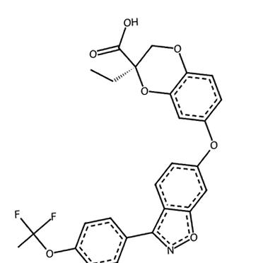 CC[C@]1(C(=O)O)COc2ccc(Oc3ccc4c(-c5ccc(OC(F)(F)F)cc5)noc4c3)cc2O1